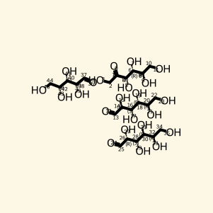 O=C(CO)[C@@H](O)[C@H](O)[C@H](O)CO.O=C[C@@H](O)[C@@H](O)[C@H](O)[C@H](O)CO.O=C[C@H](O)[C@@H](O)[C@@H](O)[C@H](O)CO.O=C[C@H](O)[C@@H](O)[C@H](O)CO